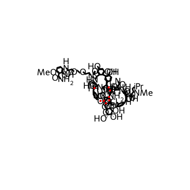 CN[C@H](CC(C)C)C(=O)N[C@H]1C(=O)N[C@@H](CC(N)=O)C(=O)N[C@H]2C(=O)N[C@H]3C(=O)N[C@H](C(=O)N[C@@H](C(=O)NCCOCCOCC(=O)Nc4ccc(OC)c(C(N)=O)c4O)c4cc(O)cc(O)c4-c4cc3ccc4O)[C@H](O)c3ccc(c(Cl)c3)Oc3cc2cc(c3OC2O[C@@H](CO)[C@@H](O)[C@H](O)[C@@H]2O[C@@H]2C[C@](C)(N)[C@H](O)[C@@H](C)O2)Oc2ccc(cc2Cl)[C@H]1O